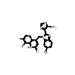 Cc1ncsc1-c1nc2ccc(Cl)cc2n1Cc1cc(=O)[nH]c2c(F)c(F)ccc12